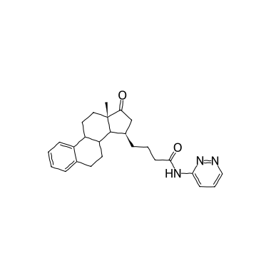 C[C@]12CCC3c4ccccc4CCC3C1[C@H](CCCC(=O)Nc1cccnn1)CC2=O